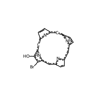 Oc1c(Br)c2cc3nc(cc4ccc(cc5nc(cc1[nH]2)C=C5)[nH]4)C=C3